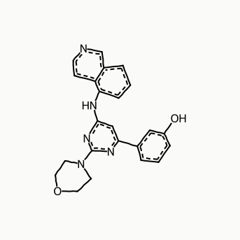 Oc1cccc(-c2cc(Nc3cccc4cnccc34)nc(N3CCOCC3)n2)c1